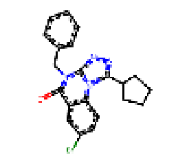 O=c1c2cc(Br)ccc2n2c(C3CCCC3)nnc2n1Cc1ccccc1